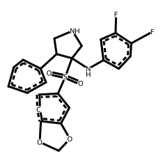 O=S(=O)(c1ccc2c(c1)OCO2)C1(Nc2ccc(F)c(F)c2)CNCC1c1ccccc1